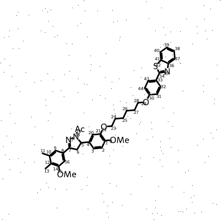 COc1ccc(C2CC(c3cc(C)c(C)c(OC)c3)=NN2C(C)=O)cc1OCCCCCCOc1ccc(-c2nc3ccccc3s2)cc1